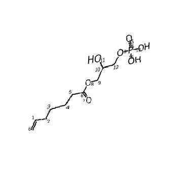 C=CCCCCC(=O)OCC(O)COP(=O)(O)O